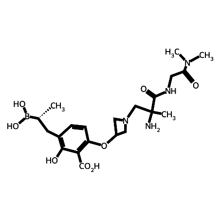 C[C@H](Cc1ccc(OC2CN(CC(C)(N)C(=O)NCC(=O)N(C)C)C2)c(C(=O)O)c1O)B(O)O